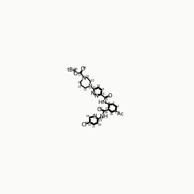 CC(=O)c1ccc(NC(=O)c2ccc(N3CCCN(C(=O)OC(C)(C)C)CC3)nn2)c(C(=O)Nc2ccc(Cl)cn2)c1